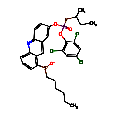 CCCCCC[S+]([O-])c1cccc2nc3ccc(OP(=O)(Oc4c(Cl)cc(Cl)cc4Cl)SC(C)CC)cc3cc12